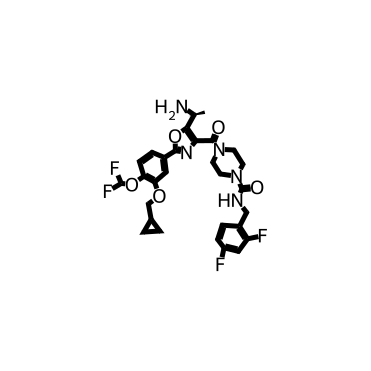 C[C@H](N)c1oc(-c2ccc(OC(F)F)c(OCC3CC3)c2)nc1C(=O)N1CCN(C(=O)NCc2ccc(F)cc2F)CC1